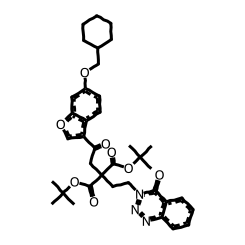 CC(C)(C)OC(=O)C(CCn1nnc2ccccc2c1=O)(CC(=O)c1coc2cc(OCC3CCCCC3)ccc12)C(=O)OC(C)(C)C